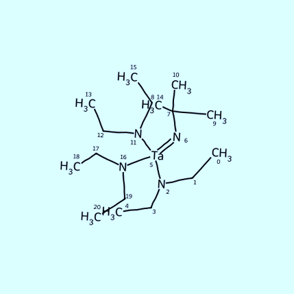 CC[N](CC)[Ta](=[N]C(C)(C)C)([N](CC)CC)[N](CC)CC